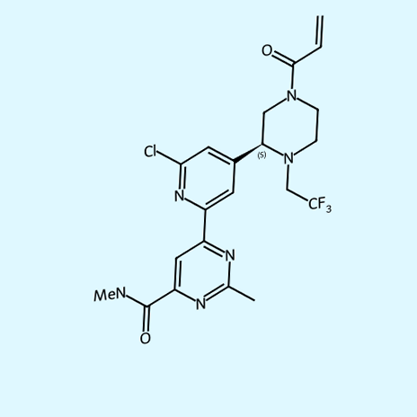 C=CC(=O)N1CCN(CC(F)(F)F)[C@@H](c2cc(Cl)nc(-c3cc(C(=O)NC)nc(C)n3)c2)C1